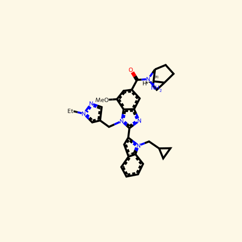 CCn1cc(Cn2c(-c3cc4ccccc4n3CC3CC3)nc3cc(C(=O)N4CC5CCC4[C@@H]5N)cc(OC)c32)cn1